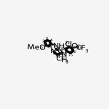 COc1cccc(Nc2ncc(C(F)(F)F)c(Nc3ccc(OC(F)(F)F)c(Cl)c3)n2)c1